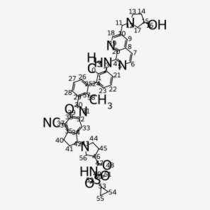 Cc1c(Nc2nccc3cc(CN4CC[C@@H](O)C4)cnc23)cccc1-c1cccc(-c2nc3cc4c(c(C#N)c3o2)CCC4N2CC[C@@H](C(=O)NS(=O)(=O)C3CC3)C2)c1C